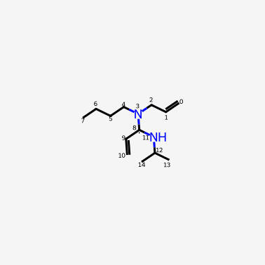 C=CCN(CCCC)[C](C=C)NC(C)C